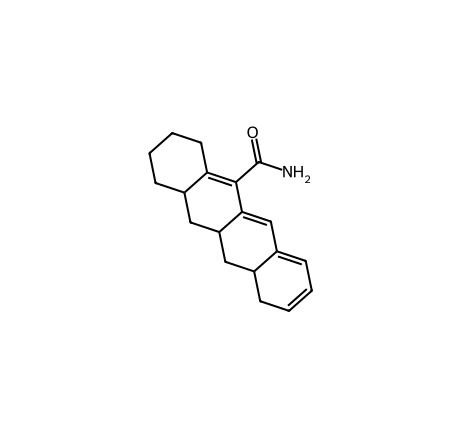 NC(=O)C1=C2CCCCC2CC2CC3CC=CC=C3C=C12